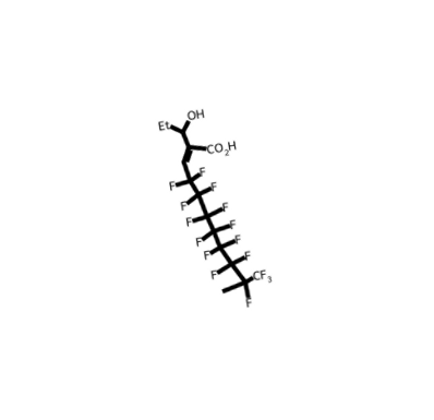 CCC(O)C(=CC(F)(F)C(F)(F)C(F)(F)C(F)(F)C(F)(F)C(F)(F)C(C)(F)C(F)(F)F)C(=O)O